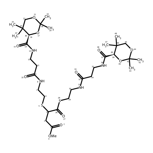 COC(=O)CC(SCCNC(=O)CCNC(=O)[C@@H]1OC(C)(C)OCC1(C)C)C(=O)SCCNC(=O)CCNC(=O)[C@@H]1OC(C)(C)OCC1(C)C